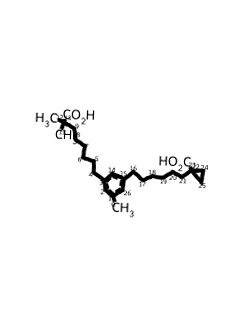 Cc1cc(CCCCCCC(C)(C)C(=O)O)cc(CCCCCCC2(C(=O)O)CC2)c1